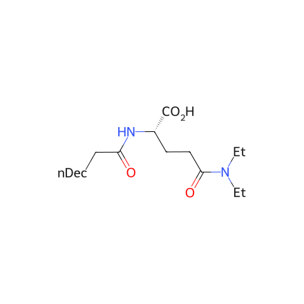 CCCCCCCCCCCC(=O)N[C@@H](CCC(=O)N(CC)CC)C(=O)O